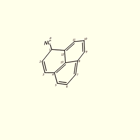 N#CC1C=Cc2cccc3cccc1c23